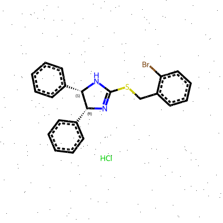 Brc1ccccc1CSC1=N[C@H](c2ccccc2)[C@H](c2ccccc2)N1.Cl